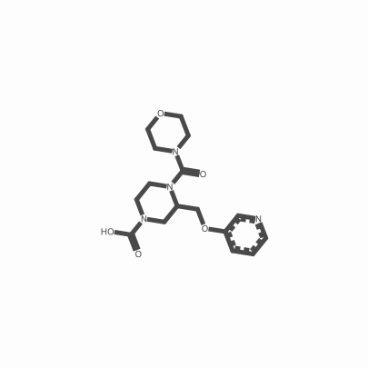 O=C(O)N1CCN(C(=O)N2CCOCC2)C(COc2cccnc2)C1